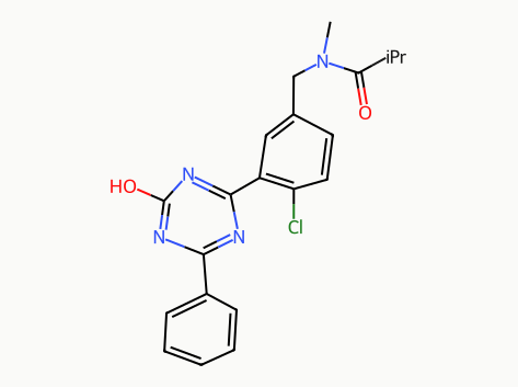 CC(C)C(=O)N(C)Cc1ccc(Cl)c(-c2nc(O)nc(-c3ccccc3)n2)c1